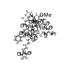 CC[C@H](C)[C@@H]([C@@H](CC(=O)N1CCC[C@H]1[C@H](OC)[C@@H](C)C(=O)N[C@@H](Cc1ccccc1)CS(=O)(=O)Cc1ccccc1)OC)N(C)[C@H](C(=O)NC(=O)[C@H](C(C)C)N(C)CCCC(=O)NNC(=O)CCCCCN1C(=O)C=CC1=O)C(C)C